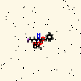 COC(=O)C(CCCI)NC(=O)OCc1ccccc1